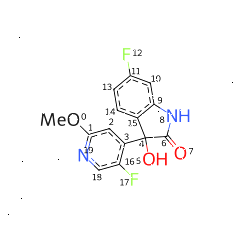 COc1cc(C2(O)C(=O)Nc3cc(F)ccc32)c(F)cn1